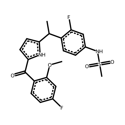 COc1cc(F)ccc1C(=O)c1ccc(C(C)c2ccc(NS(C)(=O)=O)cc2F)[nH]1